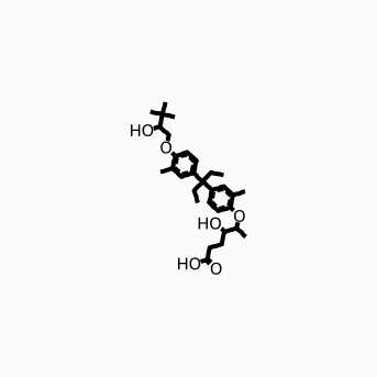 CCC(CC)(c1ccc(OCC(O)C(C)(C)C)c(C)c1)c1ccc(OC(C)C(O)CCC(=O)O)c(C)c1